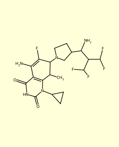 CC1c2c(c(=O)[nH]c(=O)n2C2CC2)C(N)=C(F)C1N1CCC(C(N)C(C(F)F)C(F)F)C1